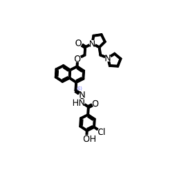 O=C(N/N=C/c1ccc(OCC(=O)N2CCCC2CN2CCCC2)c2ccccc12)c1ccc(O)c(Cl)c1